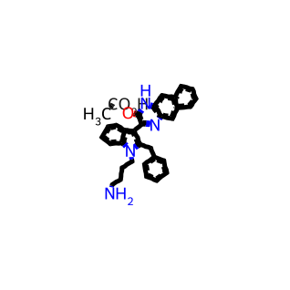 CC(=O)O.NCCCCn1c(Cc2ccccc2)c(-c2nc3cc4ccccc4cc3[nH]c2=O)c2ccccc21